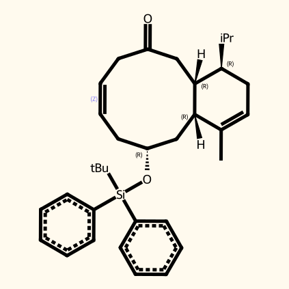 CC1=CC[C@H](C(C)C)[C@H]2CC(=O)C/C=C\C[C@@H](O[Si](c3ccccc3)(c3ccccc3)C(C)(C)C)C[C@@H]12